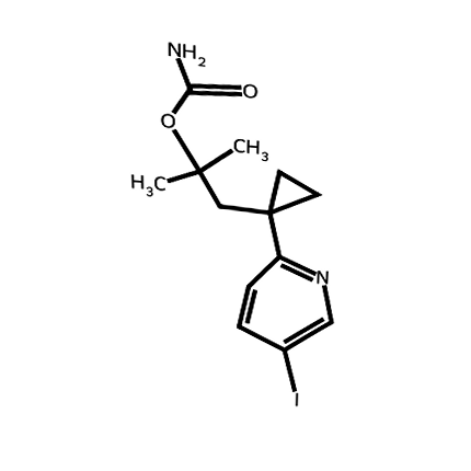 CC(C)(CC1(c2ccc(I)cn2)CC1)OC(N)=O